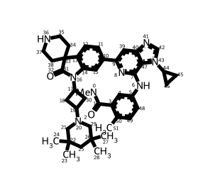 CNC(=O)c1cc(Nc2nc(-c3ccc4c(c3)N(C3CC(N5CC(C)(C)CC(C)(C)C5)C3)C(=O)C43CCNCC3)cc3ncn(C4CC4)c23)ccc1C